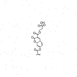 C=C(C)C(=O)OC1=CC2OC(=O)C(C(=O)OCCS(=O)(=O)O)=CC2C=C1